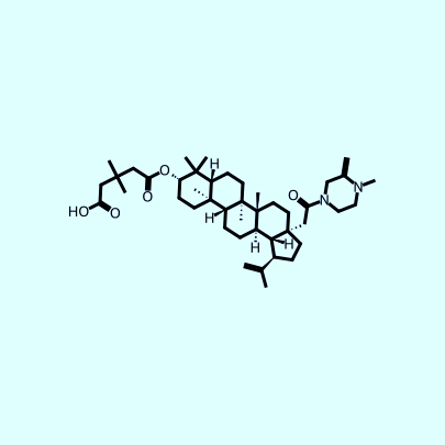 C=C(C)[C@@H]1CC[C@]2(CC(=O)N3CCN(C)C(=C)C3)CC[C@]3(C)[C@H](CC[C@@H]4[C@@]5(C)CC[C@H](OC(=O)CC(C)(C)CC(=O)O)C(C)(C)[C@@H]5CC[C@]43C)[C@@H]12